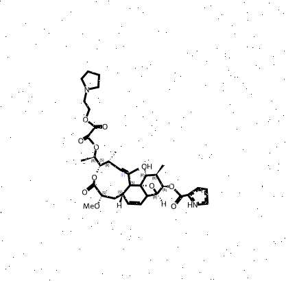 CO[C@H]1C[C@H]2C=CC3C4[C@H](O)[C@@H](C)[C@@H](OC(=O)c5ccc[nH]5)[C@@H]3O[C@]42/C(C)=C/[C@@H](C)[C@@H]([C@@H](C)OC(=O)C(=O)OCCN2CCCC2)OC1=O